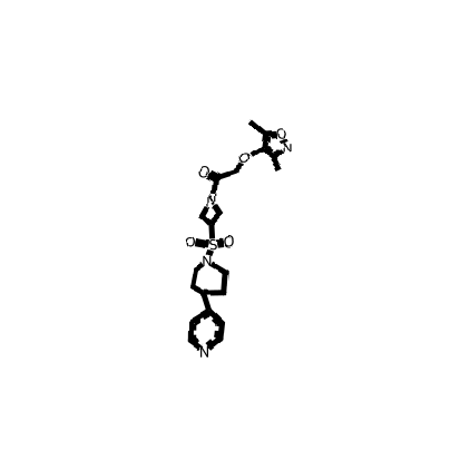 Cc1noc(C)c1OCC(=O)N1CC(S(=O)(=O)N2CCC(c3ccncc3)CC2)C1